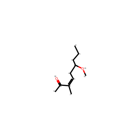 CCCC(CC=C(C)C(C)=O)OC